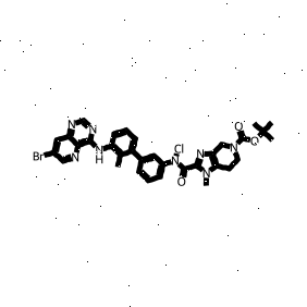 Cc1c(Nc2ncnc3cc(Br)cnc23)cccc1-c1cccc(N(Cl)C(=O)c2nc3c(n2C)CCN(C(=O)OC(C)(C)C)C3)c1